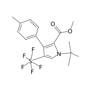 COC(=O)c1c(-c2ccc(C)cc2)c(S(F)(F)(F)(F)F)cn1C(C)(C)C